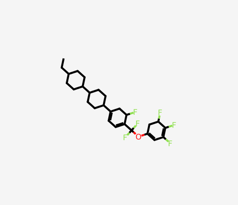 CCC1CCC(C2CCC(C3=CC=C(C(F)(F)OC4=CC(F)=C(F)C(F)C4)C(F)C3)CC2)CC1